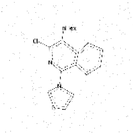 CCCCCCc1c(Cl)nc(-n2ccnc2)c2ccccc12